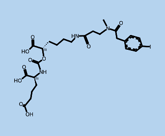 CN(CCC(=O)NCCCC[C@H](OC(=O)N[C@@H](CCCC(=O)O)C(=O)O)C(=O)O)C(=O)Cc1ccc(I)cc1